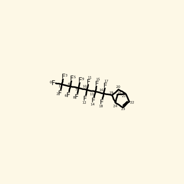 FC(F)(F)C(F)(F)C(F)(F)C(F)(F)C(F)(F)C(F)(F)C1CC2C=CC1C2